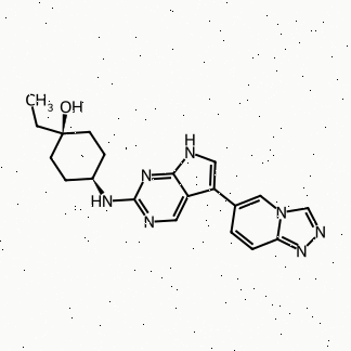 CC[C@]1(O)CC[C@@H](Nc2ncc3c(-c4ccc5nncn5c4)c[nH]c3n2)CC1